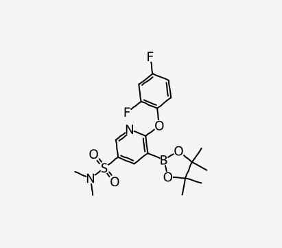 CN(C)S(=O)(=O)c1cnc(Oc2ccc(F)cc2F)c(B2OC(C)(C)C(C)(C)O2)c1